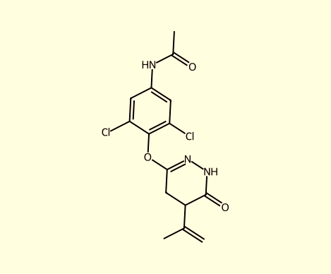 C=C(C)C1CC(Oc2c(Cl)cc(NC(C)=O)cc2Cl)=NNC1=O